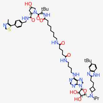 Cc1ncsc1-c1ccc(CNC(=O)[C@H]2C[C@H](O)CN2C(=O)[C@H](NC(=O)CCCCCCCNC(=O)CCCC(=O)NCCCCNc2ncnc3c2ncn3[C@@H]2O[C@H](CN(C(C)C)C3CC(CCc4nc5cc(C(C)(C)C)ccc5[nH]4)C3)[C@@H](O)[C@H]2O)C(C)(C)C)cc1